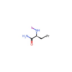 CC(C)C[C@H](NI)C(N)=O